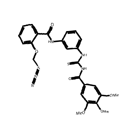 COc1cc(C(=O)NC(=S)Nc2cccc(NC(=O)c3ccccc3OCN=[N+]=[N-])c2)cc(OC)c1OC